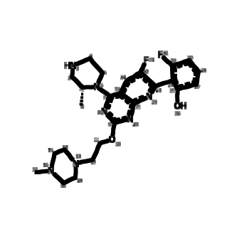 C[C@@H]1CNCCN1c1nc(OCCN2CCN(C)CC2)nc2nc(-c3c(O)cccc3F)c(F)cc12